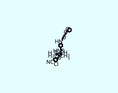 CC1(C)C(NC(=O)c2ccc(NCCOCCOC3CCCCO3)cc2)C(C)(C)C1Oc1ccc(C#N)c(Cl)c1